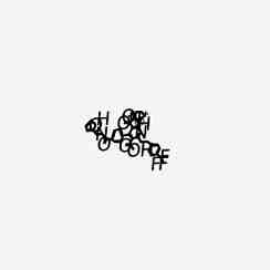 O=C(NCc1ccco1)c1ccc(-c2c(C(=O)O)c(CCc3ccc(C(F)(F)F)cc3)nc3c2C(=O)[N+]2([O-])CCC[C@@H]32)cc1